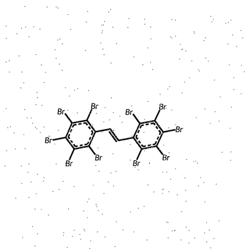 Brc1c(Br)c(Br)c(C=Cc2c(Br)c(Br)c(Br)c(Br)c2Br)c(Br)c1Br